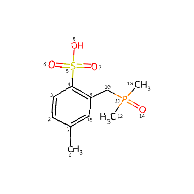 Cc1ccc(S(=O)(=O)O)c(CP(C)(C)=O)c1